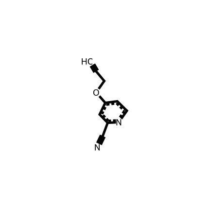 C#CCOc1ccnc(C#N)c1